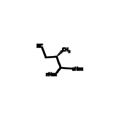 CCCCCCC(CCCCCC)[C@@H](C)CC#N